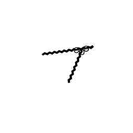 C=CCOCC(COCCCCCCCCCCCCCC)OCCCCCCCCCCCCCC